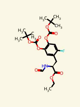 CCOC(=O)[C@H](Cc1cc(OC(=O)OC(C)(C)C)c(OC(=O)OC(C)(C)C)cc1F)NC=O